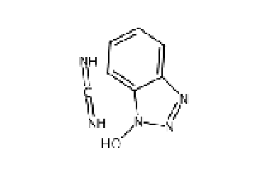 N=C=N.On1nnc2ccccc21